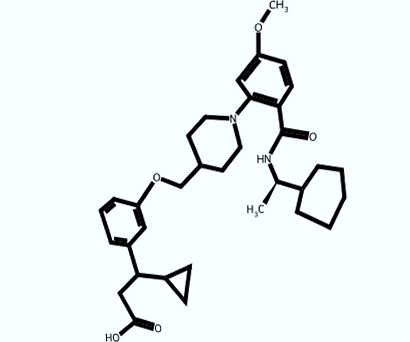 COc1ccc(C(=O)N[C@H](C)C2CCCCC2)c(N2CCC(COc3cccc(C(CC(=O)O)C4CC4)c3)CC2)c1